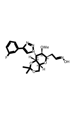 CO[C@@H]1[C@@H](n2cc(-c3cccc(F)c3)nn2)[C@H]2OC(C)(C)OC[C@H]2O[C@@H]1CC=NO